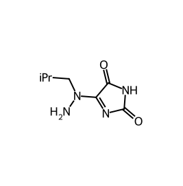 CC(C)CN(N)C1=NC(=O)NC1=O